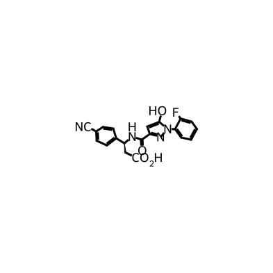 N#Cc1ccc([C@H](CC(=O)O)NC(=O)c2cc(O)n(-c3ccccc3F)n2)cc1